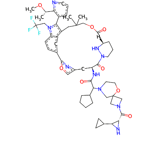 CO[C@@H](C)c1ncccc1-c1c2c3cc(ccc3n1CC(F)(F)F)-c1nc(co1)C[C@H](NC(=O)C(C1CCCC1)N1CCOC3(CN(C(=O)[C@@H]4NC4C4CC4)C3)C1)C(=O)N1CCC[C@H](N1)C(=O)OCC(C)(C)C2